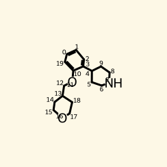 c1ccc(C2CCNCC2)c(OCC2CCOCC2)c1